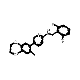 Cc1cc2c(cc1-c1ccc(NCc3c(F)cccc3F)nc1)OCCO2